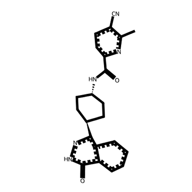 Cc1nc(C(=O)N[C@H]2CC[C@H](c3n[nH]c(=O)c4ccccc43)CC2)ccc1C#N